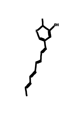 C/C=C/C=C/C=C/C=C/C1=CSC(C)C(O)=C1